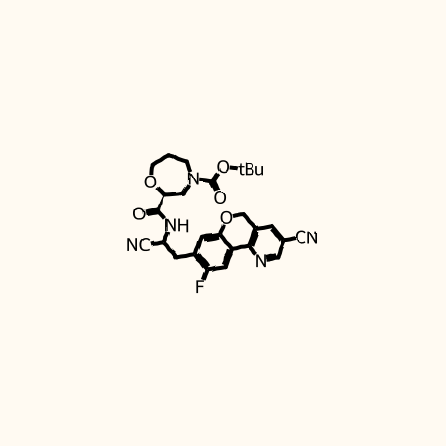 CC(C)(C)OC(=O)N1CCCO[C@H](C(=O)NC(C#N)Cc2cc3c(cc2F)-c2ncc(C#N)cc2CO3)C1